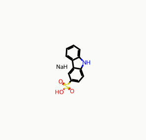 O=S(=O)(O)c1ccc2[nH]c3ccccc3c2c1.[NaH]